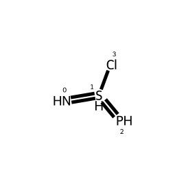 N=[SH](=P)Cl